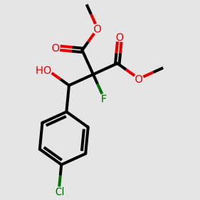 COC(=O)C(F)(C(=O)OC)C(O)c1ccc(Cl)cc1